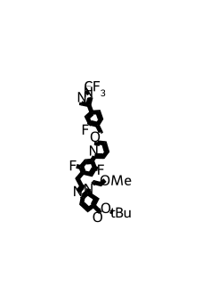 COCCn1c(Cc2cc(F)c(-c3cccc(OCc4ccc(-c5cnn(C(F)(F)F)c5)cc4F)n3)cc2F)nc2ccc(C(=O)OC(C)(C)C)cc21